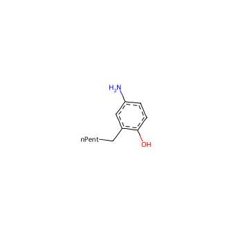 CCCCCCc1cc(N)ccc1O